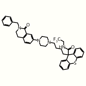 O=C1c2cc(N3CCN(CCCCC4(C(=O)NCC(F)(F)F)c5ccccc5Sc5ccccc54)CC3)ccc2CCN1Cc1ccccc1